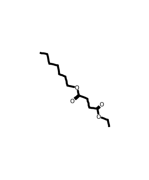 CCCCCCCOC(=O)CCC(=O)OCC